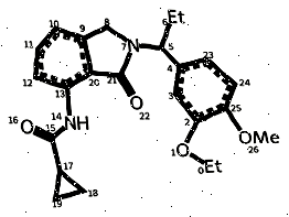 CCOc1cc(C(CC)N2Cc3cccc(NC(=O)C4CC4)c3C2=O)ccc1OC